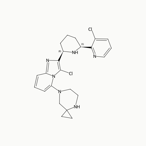 Clc1cccnc1[C@@H]1CCC[C@H](c2nc3cccc(N4CCNC5(CC5)C4)n3c2Cl)N1